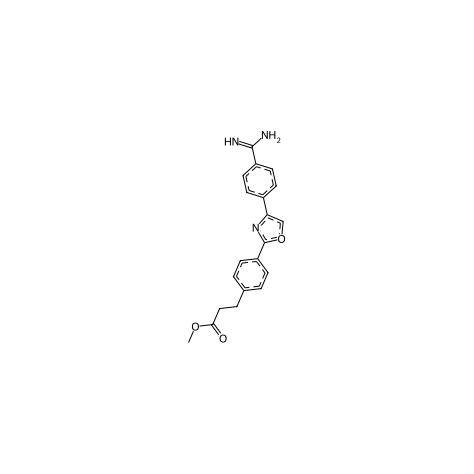 COC(=O)CCc1ccc(-c2nc(-c3ccc(C(=N)N)cc3)co2)cc1